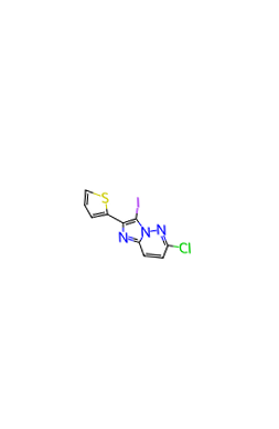 Clc1ccc2nc(-c3cccs3)c(I)n2n1